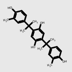 Cc1cc(C(C)(C)c2cc(O)c(C(C)(C)c3ccc(O)c(C)c3)cc2O)ccc1O